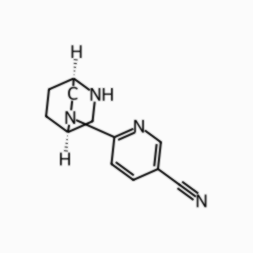 N#Cc1ccc(N2C[C@H]3CC[C@@H]2CN3)nc1